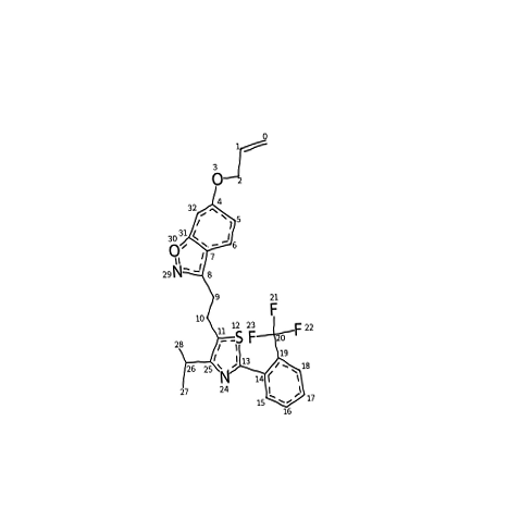 C=CCOc1ccc2c(CCc3sc(-c4ccccc4C(F)(F)F)nc3C(C)C)noc2c1